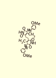 COc1cccc(N=NC2C(=O)NC(=O)C(CCC3=C(C)C(N=Nc4cccc(OC)c4)C(=O)NC3=O)=C2C)c1